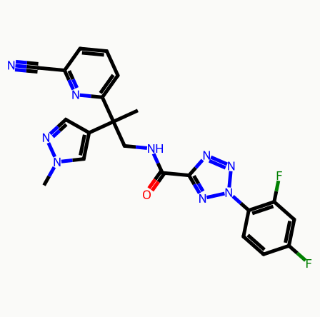 Cn1cc(C(C)(CNC(=O)c2nnn(-c3ccc(F)cc3F)n2)c2cccc(C#N)n2)cn1